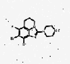 Brc1c(Br)c2c3c(nc(N4CCNCC4)n3CCC2)c1Br